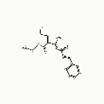 CCCC(C(=O)OCC)C(C)OC(=O)/C=C/c1ccccc1